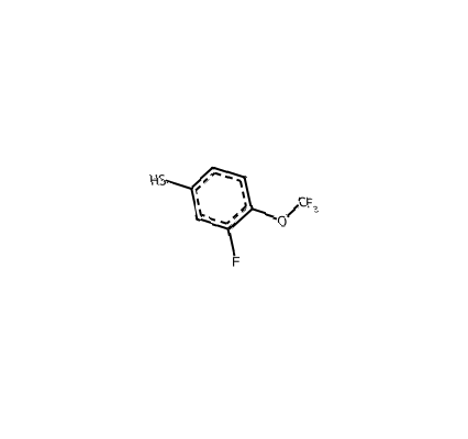 Fc1cc(S)ccc1OC(F)(F)F